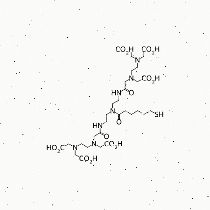 O=C(O)CN(CCN(CC(=O)O)CC(=O)NCCN(CCNC(=O)CN(CCN(CC(=O)O)CC(=O)O)CC(=O)O)C(=O)CCCCCS)CC(=O)O